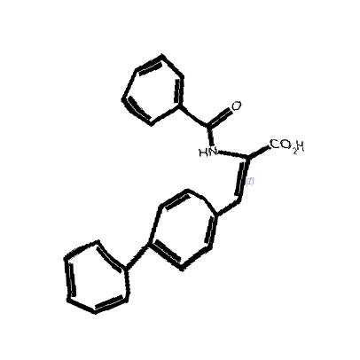 O=C(O)/C(=C/c1ccc(-c2ccccc2)cc1)NC(=O)c1ccccc1